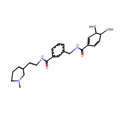 COC1C=CC(C(=O)NCc2cccc(C(=O)NCCC3CCCN(C)C3)c2)=CC1OC